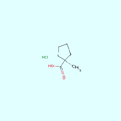 CC1(C(=O)O)CCCC1.Cl